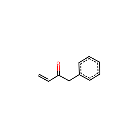 C=CC(=O)Cc1ccccc1